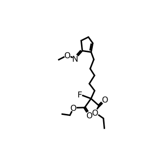 CCOC(=O)C(F)(CCCCCC1=CCCC1=NOC)C(=O)OCC